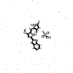 COc1c/c(=C2\C=c3ccccc3=N2)[nH]c1=Cc1[nH]c(C)cc1C.CS(=O)(=O)O